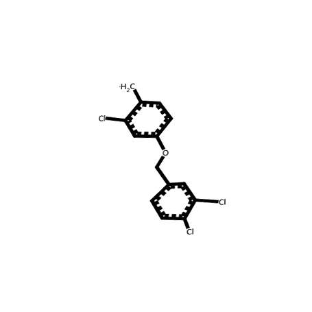 [CH2]c1ccc(OCc2ccc(Cl)c(Cl)c2)cc1Cl